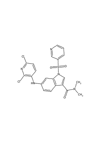 CN(C)C(=O)c1cn(S(=O)(=O)c2cccnc2)c2cc(Nc3ccc(Cl)nc3Cl)ccc12